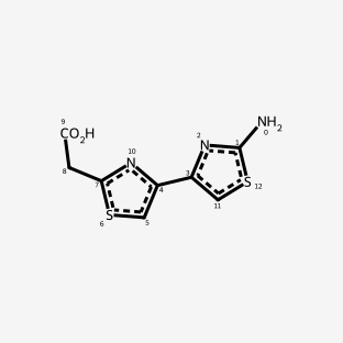 Nc1nc(-c2csc(CC(=O)O)n2)cs1